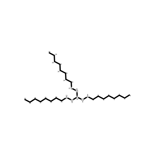 CCCCCCCCSOP(OSCCCCCCCC)OSCCCCCCCC